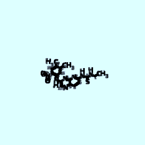 CCNC(=S)Nc1ccc2ncc(Nc3cc(C)c(C)cc3[N+](=O)[O-])nc2n1